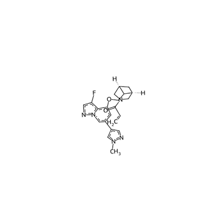 C=CC(=O)N1C[C@H]2C[C@@H](C1)C2COc1cc(-c2cnn(C)c2)cn2ncc(F)c12